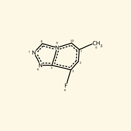 Cc1cc(F)c2nncn2c1